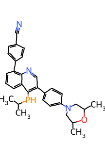 CC1CN(c2ccc(-c3cnc4c(-c5ccc(C#N)cc5)cccc4c3PC(C)C)cc2)CC(C)O1